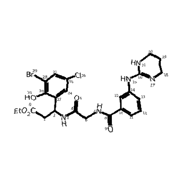 CCOC(=O)CC(NC(=O)CNC(=O)c1cccc(NC2=NCCCN2)c1)c1cc(Cl)cc(Br)c1O